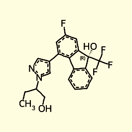 CCC(CO)n1cc(-c2cc(F)cc3c2-c2ccccc2[C@]3(O)C(F)(F)F)cn1